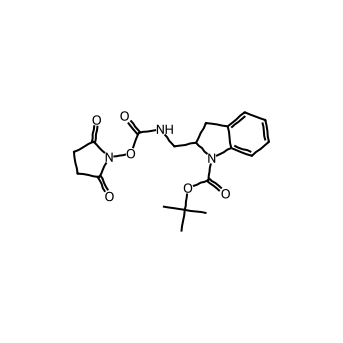 CC(C)(C)OC(=O)N1c2ccccc2CC1CNC(=O)ON1C(=O)CCC1=O